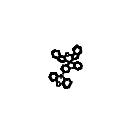 c1ccc2c(c1)Oc1ccccc1N2c1ccc2c(c1)-c1ccccc1C21c2ccc3ccccc3c2Oc2c1ccc1ccccc21